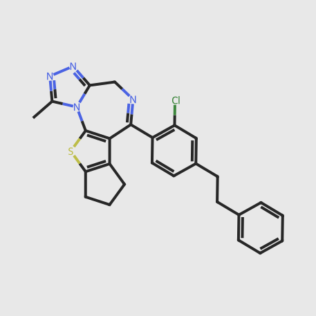 Cc1nnc2n1-c1sc3c(c1C(c1ccc(CCc4ccccc4)cc1Cl)=NC2)CCC3